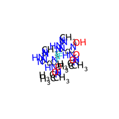 Cn1cc(Nc2nccc(-c3ccc4c(c3)CN(CC(F)(F)F)CCC4NC(=O)c3nnc(C(C)(C)C)o3)n2)cn1.Cn1cc(Nc2nccc(-c3ccc4c(c3)CN(CCO)CCC4NC(=O)c3nnc(C(C)(C)C)o3)n2)cn1